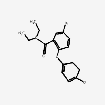 CCN(CC)C(=O)c1cc(Br)ccc1OC1=CC=C(Cl)CC1